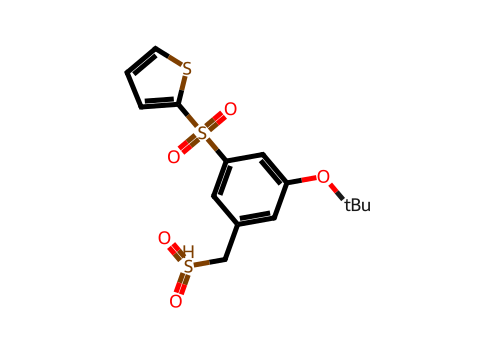 CC(C)(C)Oc1cc(C[SH](=O)=O)cc(S(=O)(=O)c2cccs2)c1